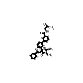 CC(C)CNC(=O)c1cccc(-c2ccc3c(c2)C2(CC(c4ccccc4)O3)N=C(N)N(C)C2=O)c1